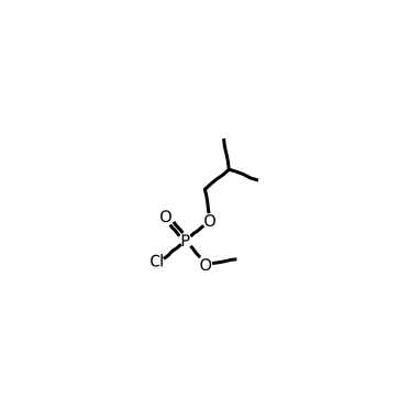 COP(=O)(Cl)OCC(C)C